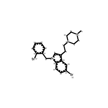 CN1CCN(CCc2cn(Cc3ccccc3Br)c3ccc(Br)cc23)CC1